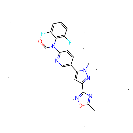 Cc1nc(-c2cc(-c3ccc(N(C=O)c4c(F)cccc4F)nc3)n(C)n2)no1